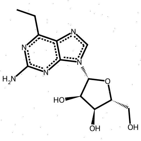 CCc1nc(N)nc2c1ncn2[C@@H]1O[C@H](CO)[C@@H](O)[C@H]1O